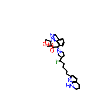 O=C(O)C(c1cccc2cnn(C3CCOC3)c12)N1CCC(C(F)CCCCc2ccc3c(n2)NCCC3)C1